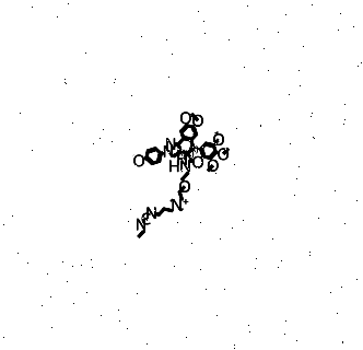 CCN=C=NCCC[N+](C)(C)CCOCCNC(=O)[C@@H]1[C@H](c2cc(OC)c(OC)c(OC)c2)c2cc3c(cc2C2=NN(c4ccc(OC)cc4)C[C@H]21)OCO3